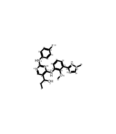 CCC(O)c1cnc(Nc2ccc(F)cc2)nc1Nc1cccc(-c2ncn(C)n2)c1OC